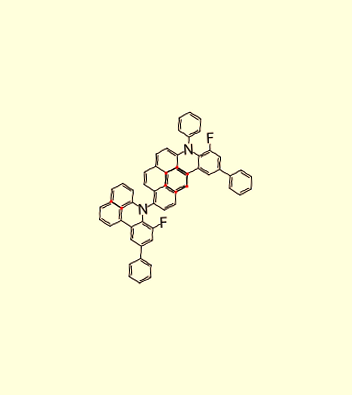 Fc1cc(-c2ccccc2)cc(-c2ccccc2)c1N(C1=CC=C2C=Cc3c(N(c4ccccc4)c4c(F)cc(-c5ccccc5)cc4-c4ccccc4)ccc4c3C2C1=CC4)c1ccccc1